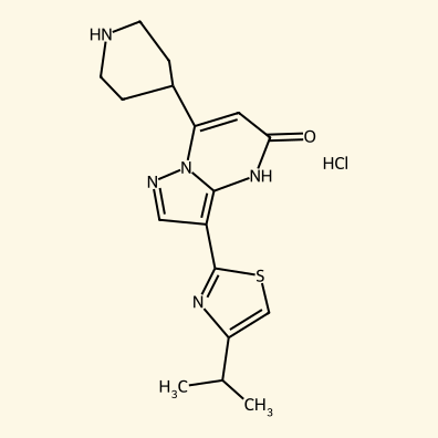 CC(C)c1csc(-c2cnn3c(C4CCNCC4)cc(=O)[nH]c23)n1.Cl